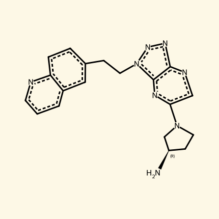 N[C@@H]1CCN(c2cnc3nnn(CCc4ccc5ncccc5c4)c3n2)C1